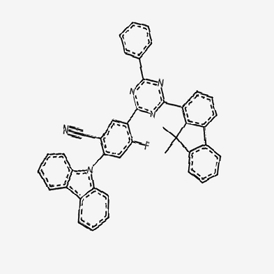 CC1(C)c2ccccc2-c2cccc(-c3nc(-c4ccccc4)nc(-c4cc(C#N)c(-n5c6ccccc6c6ccccc65)cc4F)n3)c21